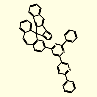 C1=Cc2ccc(-c3cc(-c4cnc(-c5ccccc5)nc4)nc(-c4ccccc4)n3)cc2C2(c3ccccc31)c1ccccc1-c1cc3ccccc3cc12